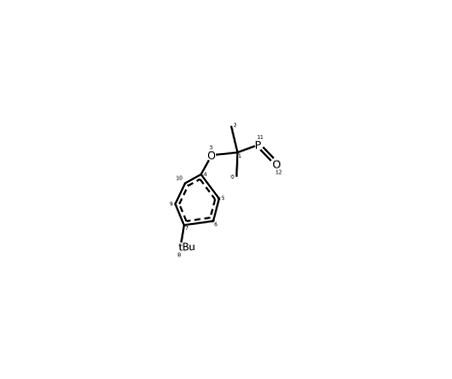 CC(C)(Oc1ccc(C(C)(C)C)cc1)P=O